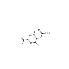 C=C(C)COC(C)C(CC(=O)O)N(C)C